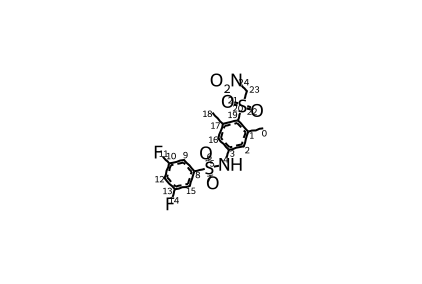 Cc1cc(NS(=O)(=O)c2cc(F)cc(F)c2)cc(C)c1S(=O)(=O)C[N+](=O)[O-]